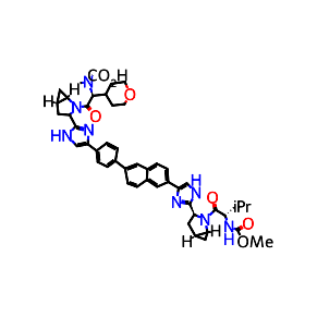 COC(=O)N[C@H](C(=O)N1[C@@H]2C[C@H]2C[C@H]1c1nc(-c2ccc3cc(-c4ccc(-c5c[nH]c(C6C[C@H]7C[C@H]7N6C(=O)[C@H](C6CCOCC6)N(C)C(=O)O)n5)cc4)ccc3c2)c[nH]1)C(C)C